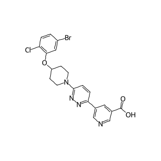 O=C(O)c1cncc(-c2ccc(N3CCC(Oc4cc(Br)ccc4Cl)CC3)nn2)c1